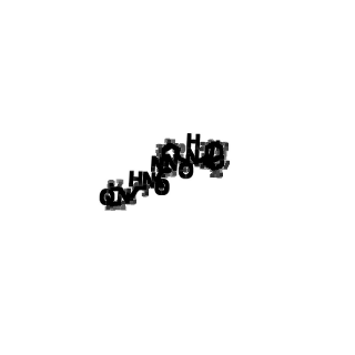 O=C(NCCCN1CCOCC1)c1cn2c(C(=O)NCC34CC5CC(CC(C5)C3)C4)cccc2n1